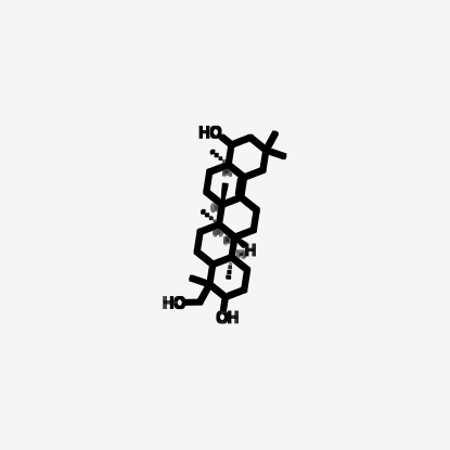 CC1(C)CC2=C3CC[C@@H]4[C@@]5(C)CCC(O)C(C)(CO)C5CC[C@@]4(C)[C@]3(C)CC[C@@]2(C)C(O)C1